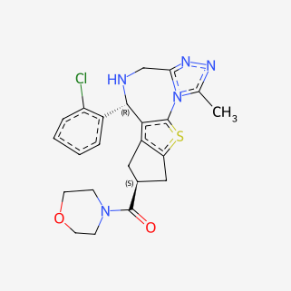 Cc1nnc2n1-c1sc3c(c1[C@H](c1ccccc1Cl)NC2)C[C@H](C(=O)N1CCOCC1)C3